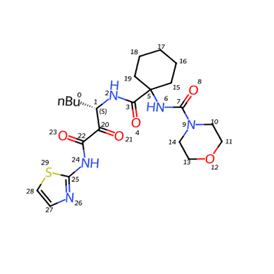 CCCC[C@H](NC(=O)C1(NC(=O)N2CCOCC2)CCCCC1)C(=O)C(=O)Nc1nccs1